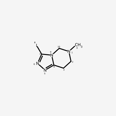 CN1CCc2nnc(I)n2C1